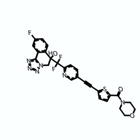 O=C(c1ccc(C#Cc2ccc(C(F)(F)C3(O)Cn4nnnc4-c4cc(F)ccc43)nc2)s1)N1CCOCC1